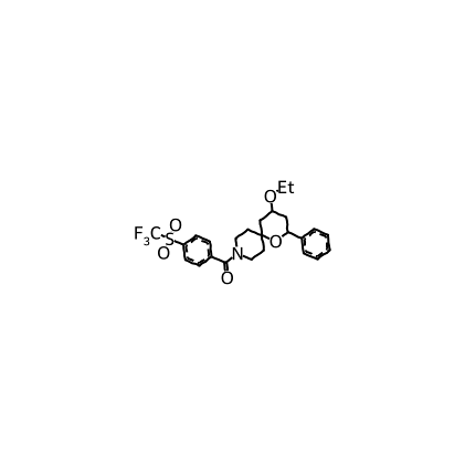 CCOC1CC(c2ccccc2)OC2(CCN(C(=O)c3ccc(S(=O)(=O)C(F)(F)F)cc3)CC2)C1